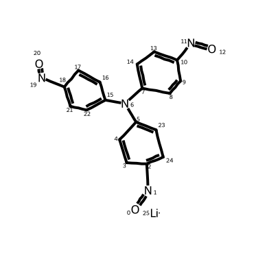 O=Nc1ccc(N(c2ccc(N=O)cc2)c2ccc(N=O)cc2)cc1.[Li]